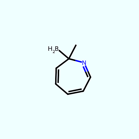 BC1(C)C=CC=CC=N1